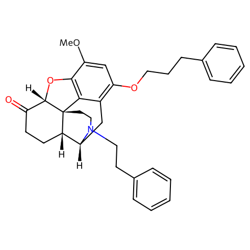 COc1cc(OCCCc2ccccc2)c2c3c1O[C@H]1C(=O)CC[C@H]4[C@@H](C2)N(CCc2ccccc2)CC[C@]314